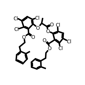 Cc1ccccc1CCOC(=O)c1c(Cl)c(Cl)cc(Cl)c1OC(=O)C(C)Oc1c(Cl)cc(Cl)c(Cl)c1C(=O)OCCc1ccccc1C